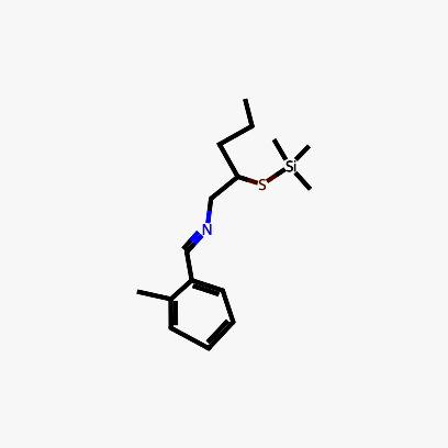 CCCC(C/N=C/c1ccccc1C)S[Si](C)(C)C